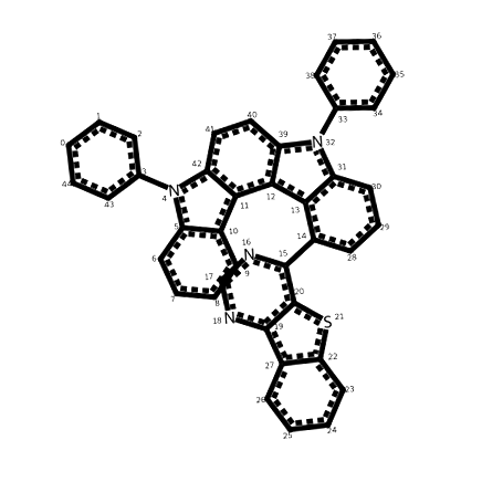 c1ccc(-n2c3ccccc3c3c4c5c(-c6ncnc7c6sc6ccccc67)cccc5n(-c5ccccc5)c4ccc32)cc1